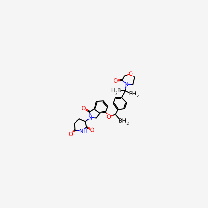 BC(Oc1cccc2c1CN(C1CCC(=O)NC1=O)C2=O)c1ccc(C(B)(B)N2CCOCC2=O)cc1